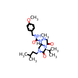 COc1ccc(CNC(=O)N2[C@H]3CN(CCC(C)C)C(=O)[C@H](C(C)C)N3C(=O)CN2C)cc1